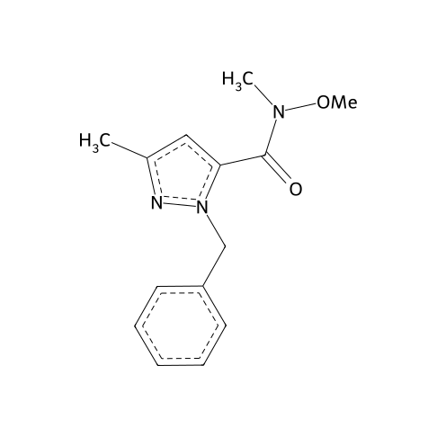 CON(C)C(=O)c1cc(C)nn1Cc1ccccc1